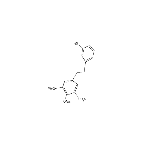 COc1cc(CCc2cccc(O)c2)cc(C(=O)O)c1OC